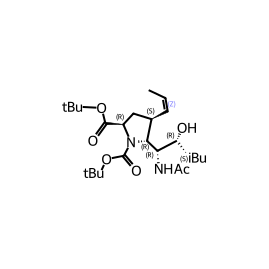 C/C=C\[C@@H]1C[C@H](C(=O)OC(C)(C)C)N(C(=O)OC(C)(C)C)[C@H]1[C@@H](NC(C)=O)[C@H](O)[C@@H](C)CC